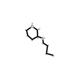 [CH2]CCCSC1CCCOC1